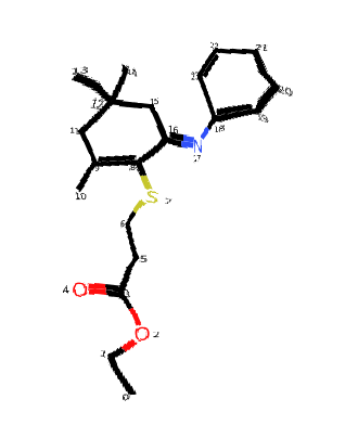 CCOC(=O)CCSC1=C(C)CC(C)(C)C/C1=N\C1=CCCC=C1